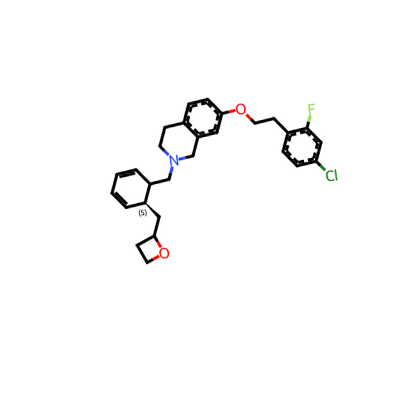 Fc1cc(Cl)ccc1CCOc1ccc2c(c1)CN(CC1C=CC=C[C@@H]1CC1CCO1)CC2